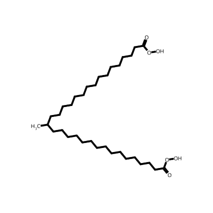 CC(CCCCCCCCCCCCCCCC(=O)OO)CCCCCCCCCCCCCCCC(=O)OO